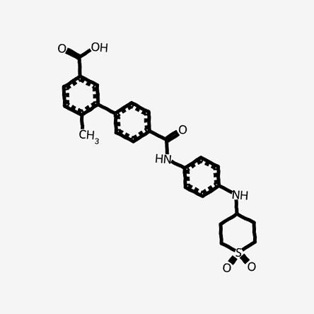 Cc1ccc(C(=O)O)cc1-c1ccc(C(=O)Nc2ccc(NC3CCS(=O)(=O)CC3)cc2)cc1